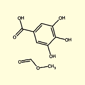 COC=O.O=C(O)c1cc(O)c(O)c(O)c1